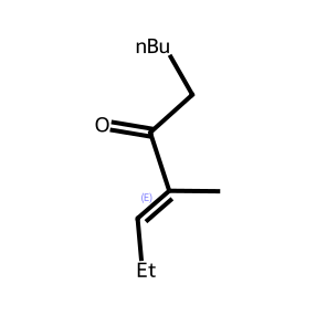 CC/C=C(\C)C(=O)CCCCC